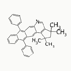 CC1(C)CC(C)(C)c2c1cnc1cc3c(-c4ccccc4)c4ccccc4c(-c4ccccc4)c3cc21